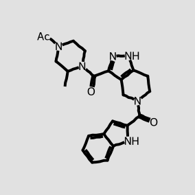 CC(=O)N1CCN(C(=O)c2n[nH]c3c2CN(C(=O)c2cc4ccccc4[nH]2)CC3)C(C)C1